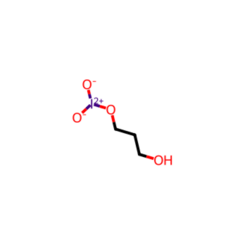 [O-][I+2]([O-])OCCCO